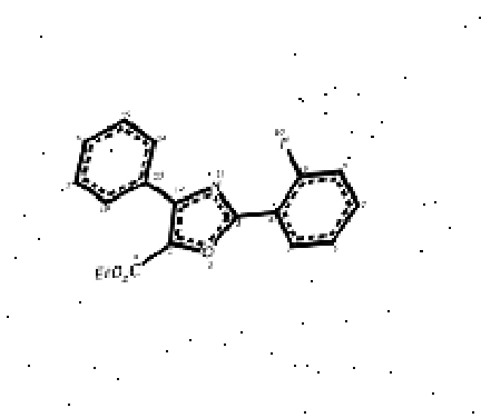 CCOC(=O)c1oc(-c2ccccc2F)nc1-c1ccccc1